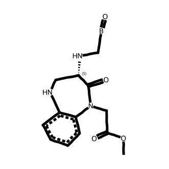 COC(=O)CN1C(=O)[C@@H](NCB=O)CNc2ccccc21